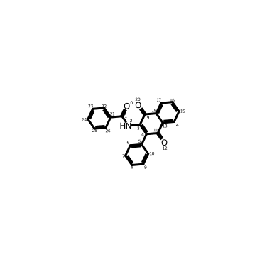 O=C(NC1=C(c2ccccc2)C(=O)c2ccccc2C1=O)c1ccccc1